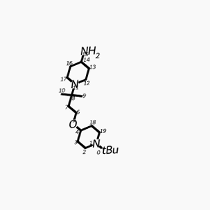 CC(C)(C)N1CCC(OCCC(C)(C)N2CCC(N)CC2)CC1